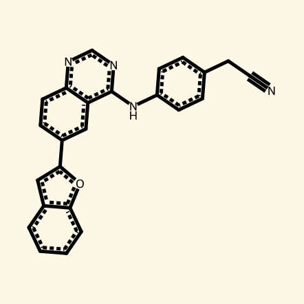 N#CCc1ccc(Nc2ncnc3ccc(-c4cc5ccccc5o4)cc23)cc1